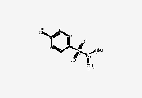 CCCCN(C)S(=O)(=O)c1ccc(Cl)cc1